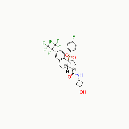 O=C(N[C@H]1C[C@@H](O)C1)[C@@H]1CC[C@@]2(S(=O)(=O)c3ccc(F)cc3)c3ccc(C(F)(C(F)(F)F)C(F)(F)F)cc3CC[C@@H]12